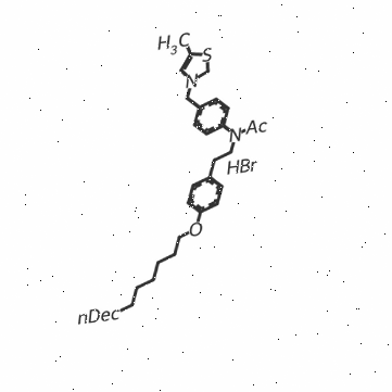 Br.CCCCCCCCCCCCCCCCOc1ccc(CCN(C(C)=O)c2ccc(CN3C=C(C)SC3)cc2)cc1